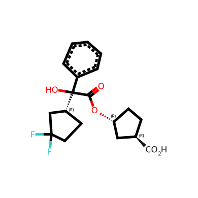 O=C(O)[C@@H]1CC[C@@H](OC(=O)C(O)(c2ccccc2)[C@@H]2CCC(F)(F)C2)C1